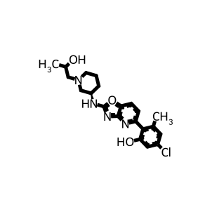 Cc1cc(Cl)cc(O)c1-c1ccc2oc(N[C@@H]3CCCN(CC(C)O)C3)nc2n1